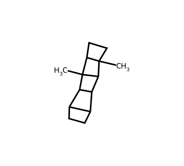 CC12CCC1C1(C)C3C4CCC4C3C21